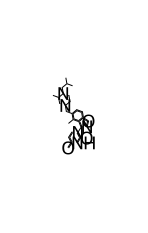 Cc1c(CN2CCN(CC(C)C)C(C)C2)ccc2onc(-n3ccc(=O)[nH]c3=O)c12